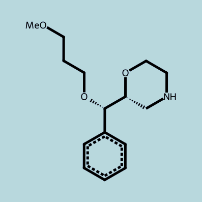 COCCCO[C@@H](c1ccccc1)[C@H]1CNCCO1